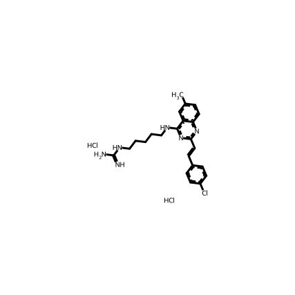 Cc1ccc2nc(C=Cc3ccc(Cl)cc3)nc(NCCCCCNC(=N)N)c2c1.Cl.Cl